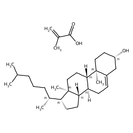 C=C(C)C(=O)O.CC(C)CCC[C@@H](C)[C@H]1CC[C@H]2[C@@H]3CC=C4C[C@@H](O)CC[C@]4(C)[C@H]3CC[C@]12C